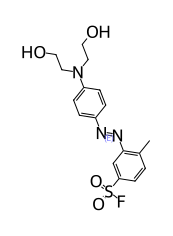 Cc1ccc(S(=O)(=O)F)cc1/N=N/c1ccc(N(CCO)CCO)cc1